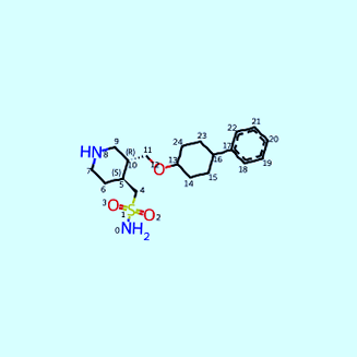 NS(=O)(=O)C[C@H]1CCNC[C@@H]1COC1CCC(c2ccccc2)CC1